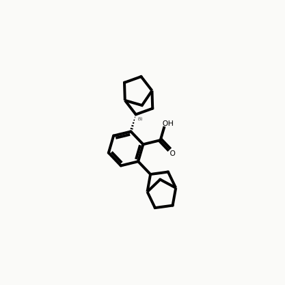 O=C(O)c1c(C2CC3CCC2C3)cccc1[C@H]1CC2CCC1C2